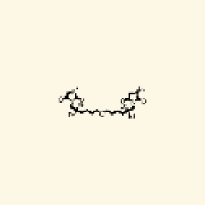 CCN1CC(=O)N(CC(CC)(CC)CCCCOCCCCC(CC)(CC)CN2C(=O)CN(C)C2=O)C1=O